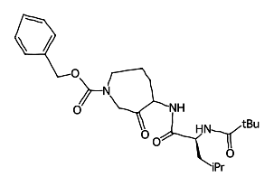 CC(C)C[C@H](NC(=O)C(C)(C)C)C(=O)NC1CCCN(C(=O)OCc2ccccc2)CC1=O